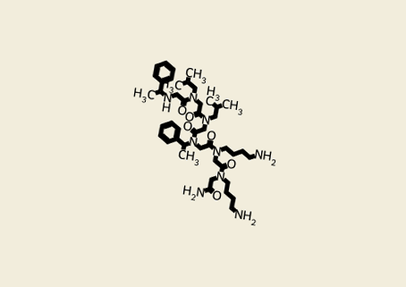 CC(C)CN(CC(=O)N(CC(=O)N(CC(=O)N(CCCCN)CC(=O)N(CCCCN)CC(N)=O)C(C)c1ccccc1)CC(C)C)C(=O)CNC(C)c1ccccc1